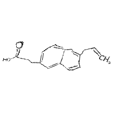 C=Cc1ccc2cc(CC(=O)O)ccc2c1